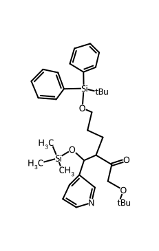 CC(C)(C)OCC(=O)C(CCCO[Si](c1ccccc1)(c1ccccc1)C(C)(C)C)C(O[Si](C)(C)C)c1cccnc1